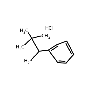 CC(C)(C)C(P)c1ccccc1.Cl